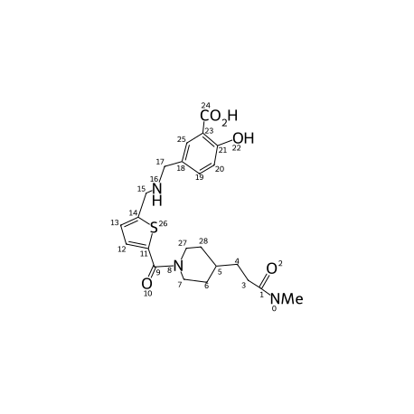 CNC(=O)CCC1CCN(C(=O)c2ccc(CNCc3ccc(O)c(C(=O)O)c3)s2)CC1